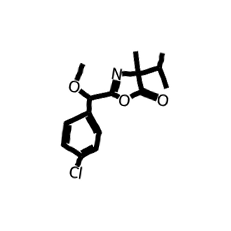 COC(C1=NC(C)(C(C)C)C(=O)O1)c1ccc(Cl)cc1